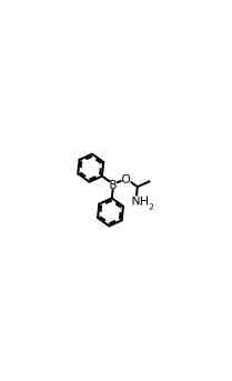 CC(N)OB(c1ccccc1)c1ccccc1